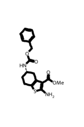 COC(=O)c1c(N)sc2c1C[C@@H](NC(=O)OCc1ccccc1)CC2